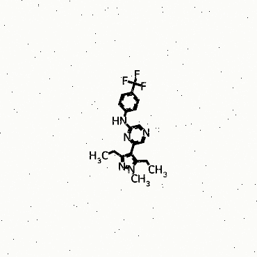 CCc1nn(C)c(CC)c1-c1cncc(Nc2ccc(C(F)(F)F)cc2)n1